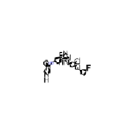 O=C(/C=C/c1ccc2c(c1)sc1ncnc(Nc3ccc(OCc4cccc(F)c4)c(Cl)c3)c12)N1CCNCC1